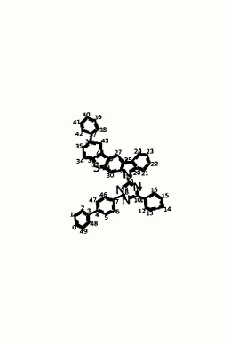 c1ccc(-c2ccc(-c3nc(-c4ccccc4)nc(-n4c5ccccc5c5cc6c(cc54)sc4ccc(-c5ccccc5)cc46)n3)cc2)cc1